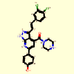 O=C(c1cc(-c2ccc(O)cc2)nc2[nH]nc(/C=C/c3ccc(Cl)c(Cl)c3)c12)N1CCNCC1